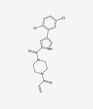 C=CC(=O)N1CCN(C(=O)c2cc(-c3cc(Cl)ccc3Cl)c[nH]2)CC1